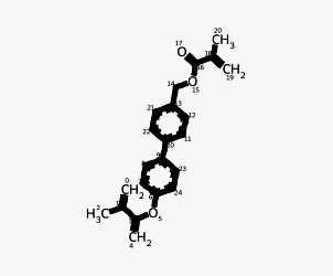 C=C(C)C(=C)Oc1ccc(-c2ccc(COC(=O)C(=C)C)cc2)cc1